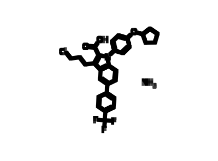 N.O=C(O)c1c(CCCCl)c2cc(-c3ccc(C(F)(F)F)cc3)ccc2n1-c1ccc(OC2CCCC2)cc1